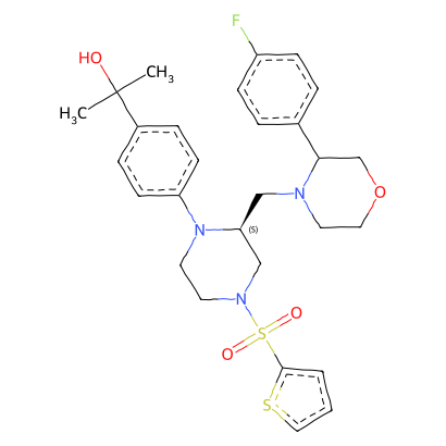 CC(C)(O)c1ccc(N2CCN(S(=O)(=O)c3cccs3)C[C@@H]2CN2CCOCC2c2ccc(F)cc2)cc1